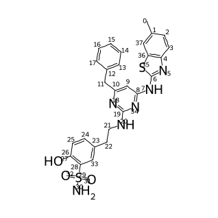 Cc1ccc2nc(Nc3cc(Cc4ccccc4)nc(NCCc4ccc(O)c(S(N)(=O)=O)c4)n3)sc2c1